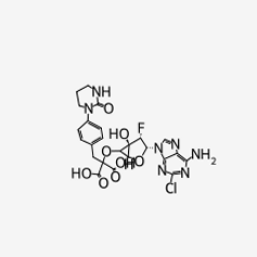 Nc1nc(Cl)nc2c1ncn2[C@@H]1O[C@@H]2C(OC(Cc3ccc(N4CCCNC4=O)cc3)(C(=O)O)C(=O)O)[C@]2(O)[C@@H]1F